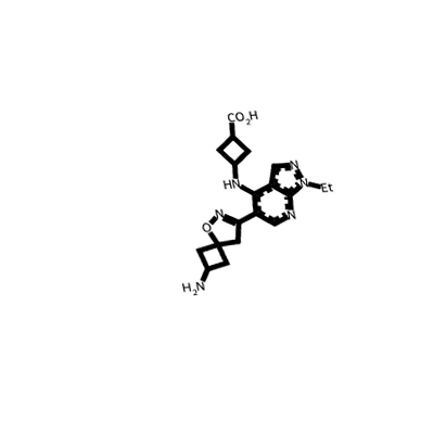 CCn1ncc2c(NC3CC(C(=O)O)C3)c(C3=NOC4(C3)CC(N)C4)cnc21